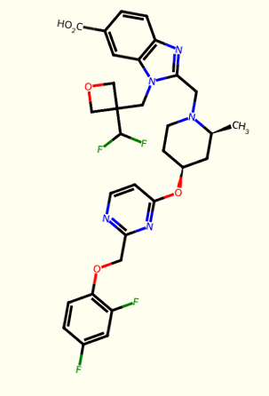 C[C@H]1C[C@@H](Oc2ccnc(COc3ccc(F)cc3F)n2)CCN1Cc1nc2ccc(C(=O)O)cc2n1CC1(C(F)F)COC1